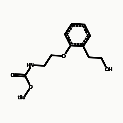 CC(C)(C)OC(=O)NCCOc1ccccc1CCO